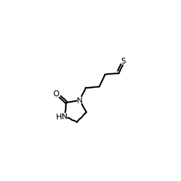 O=C1NCCN1CCCC=S